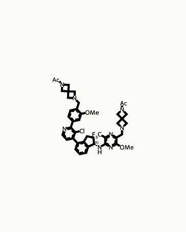 COc1cc(-c2nccc(-c3cccc4c3CC[C@@H]4Nc3nc(OC)c(CN4CC5(C4)CN(C(C)=O)C5)nc3C(F)(F)F)c2Cl)ccc1CN1CC2(C1)CN(C(C)=O)C2